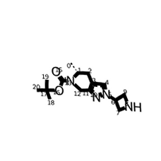 C[C@@H]1Cc2cn(C3CNC3)nc2CN1C(=O)OC(C)(C)C